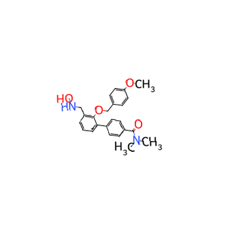 COc1ccc(COc2c(CNO)cccc2-c2ccc(C(=O)N(C)C)cc2)cc1